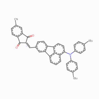 CC(C)(C)c1ccc(N(c2ccc(C(C)(C)C)cc2)c2ccc3c4c(cccc24)-c2cc(/C=C4/C(=O)c5ccc(C#N)cc5C4=O)ccc2-3)cc1